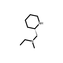 CCN(C)C[C@@H]1CCCCN1